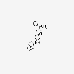 C=C(c1ccccc1)C1COC2(CCC(Nc3cccc(C(F)(F)F)c3)CC2)OO1